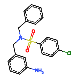 Nc1cccc(CN(Cc2ccccc2)S(=O)(=O)c2ccc(Cl)cc2)c1